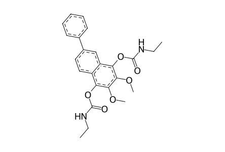 CCNC(=O)Oc1c(OC)c(OC)c(OC(=O)NCC)c2cc(-c3ccccc3)ccc12